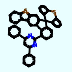 c1ccc(-c2cc(-c3ccccc3)nc(-c3cccc4c3-c3cc5c(cc3C43c4ccccc4Sc4ccccc43)sc3ccccc35)n2)cc1